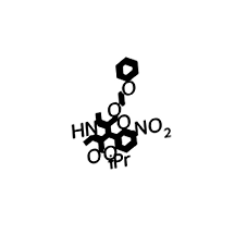 CC1=C(C(=O)OCCOc2ccccc2)C(c2cccc([N+](=O)[O-])c2)C(C(=O)OC(C)C)=C(C)N1